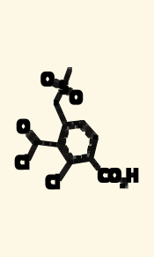 CS(=O)(=O)Cc1ccc(C(=O)O)c(Cl)c1C(=O)Cl